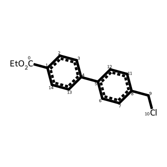 CCOC(=O)c1ccc(-c2ccc(CCl)cc2)cc1